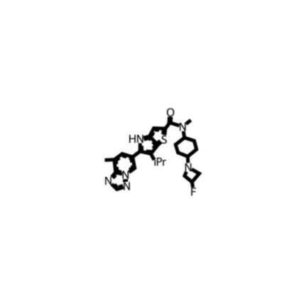 Cc1cc(-c2[nH]c3cc(C(=O)N(C)C4CCC(N5CC(F)C5)CC4)sc3c2C(C)C)cn2ncnc12